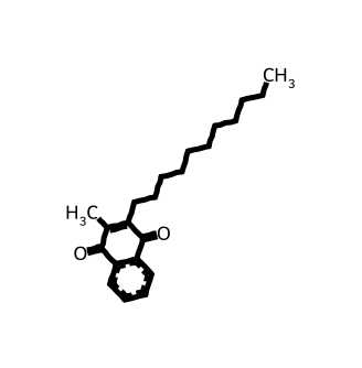 CCCCCCCCCCCC1=C(C)C(=O)c2ccccc2C1=O